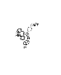 CC(C)OC1CCC(C(=O)N2Cc3cccnc3Nc3ccc(N4C[C@H]5CC[C@@H]4CO5)cc32)CC1